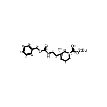 CC(C)(C)OC(=O)N1CCC[C@@](F)(CCNC(=O)OCc2ccccc2)C1